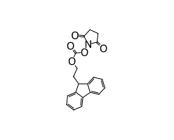 O=C(OCCC1c2ccccc2-c2ccccc21)ON1C(=O)CCC1=O